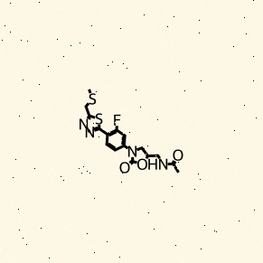 CSCc1nnc(-c2ccc(N3CC(CNC(C)=O)OC3=O)cc2F)s1